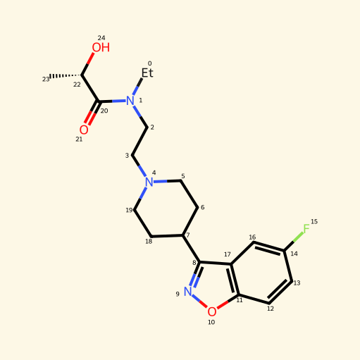 CCN(CCN1CCC(c2noc3ccc(F)cc23)CC1)C(=O)[C@H](C)O